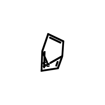 c1cc2ccc1[se]2